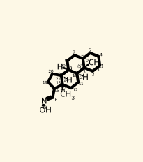 C[C@]12CCCCC1CC[C@@H]1[C@@H]2CC[C@]2(C)C(C=NO)CC[C@@H]12